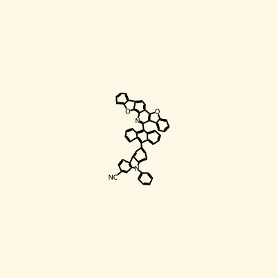 N#Cc1ccc2c3cc(-c4c5ccccc5c(-c5nc6c(ccc7c8ccccc8oc76)c6oc7ccccc7c56)c5ccccc45)ccc3n(-c3ccccc3)c2c1